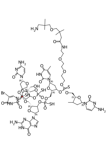 Cc1cn([C@H]2CC(OP(=S)(OCCOCCOCCNC(=O)CC(C)(C)COCC(C)(C)CN)OC[C@H]3O[C@@H](n4ccc(N)nc4=O)CC3C)[C@@H](COP(=O)(S)OC3C[C@H](n4cnc5c(=O)[nH]c(N)nc54)O[C@@H]3COP(=S)(S)OC3C[C@H](n4ccc(N)nc4=O)O[C@@H]3COP(=O)(S)OC3C[C@H](n4cc(Br)c(=O)[nH]c4=O)O[C@@H]3CO)O2)c(=O)[nH]c1=O